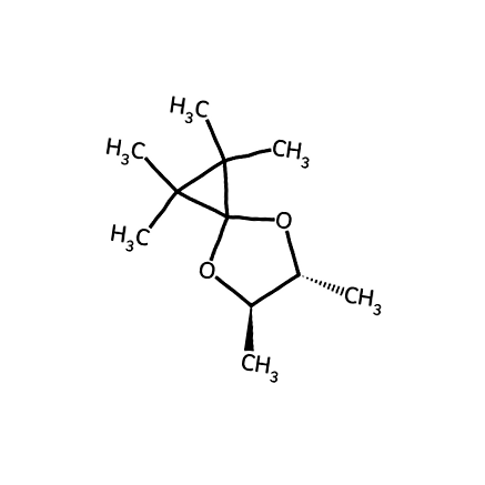 C[C@H]1OC2(O[C@@H]1C)C(C)(C)C2(C)C